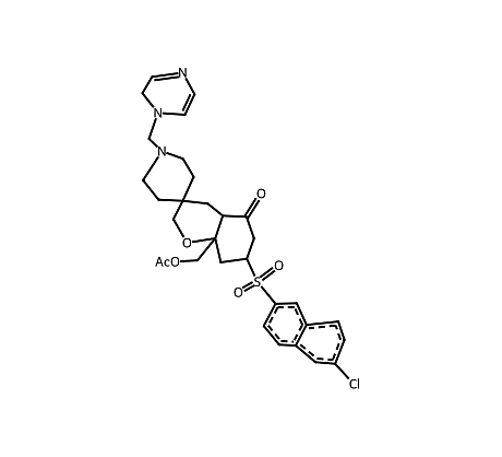 CC(=O)OCC12CC(S(=O)(=O)c3ccc4cc(Cl)ccc4c3)CC(=O)C1CC1(CCN(CN3C=CN=CC3)CC1)CO2